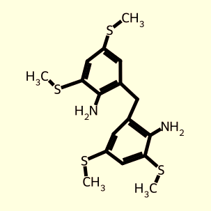 CSc1cc(Cc2cc(SC)cc(SC)c2N)c(N)c(SC)c1